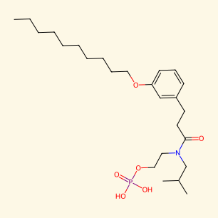 CCCCCCCCCCOc1cccc(CCC(=O)N(CCOP(=O)(O)O)CC(C)C)c1